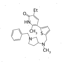 CCc1cc(-c2ccc(CN(C)C3CCN(Cc4ccccc4)C3)s2)c(C)[nH]c1=O